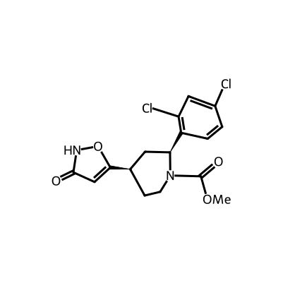 COC(=O)N1CC[C@@H](c2cc(=O)[nH]o2)C[C@H]1c1ccc(Cl)cc1Cl